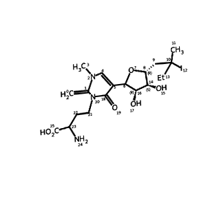 C=C1N(C)C=C(C2O[C@H](CC(C)(I)CC)[C@@H](O)[C@H]2O)C(=O)N1CCC(N)C(=O)O